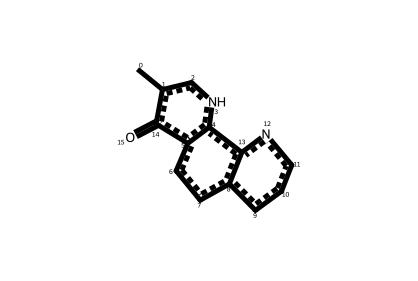 Cc1c[nH]c2c(ccc3cccnc32)c1=O